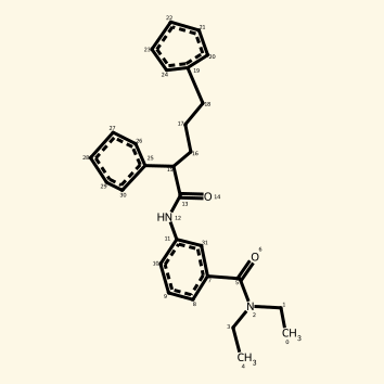 CCN(CC)C(=O)c1cccc(NC(=O)C(CCCc2ccccc2)c2ccccc2)c1